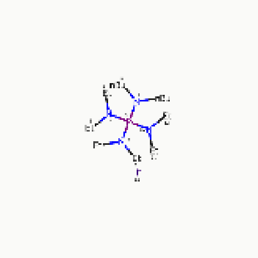 CCCCN(CCCC)[P+](N(CC)CC)(N(CC)CC)N(CC)CC.[I-]